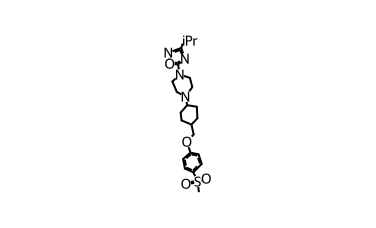 CC(C)c1noc(N2CCN(C3CCC(COc4ccc(S(C)(=O)=O)cc4)CC3)CC2)n1